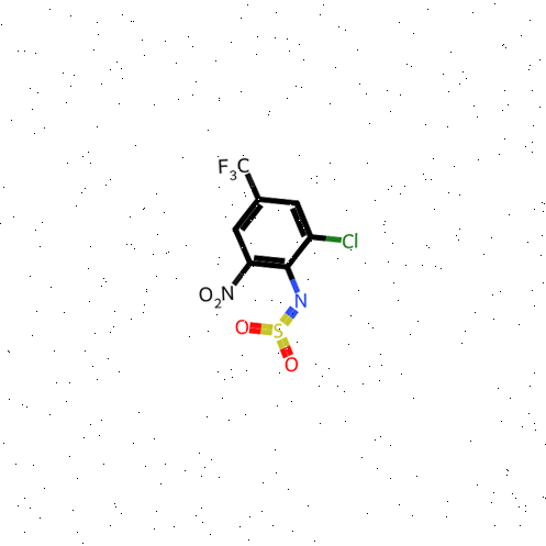 O=[N+]([O-])c1cc(C(F)(F)F)cc(Cl)c1N=S(=O)=O